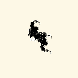 C=Cc1ccc(Oc2ccc(C3(c4ccc(F)c(F)c4)c4ccccc4-c4ccc([C@H](Cc5ccc6c(c5)C5(CC6(C)C)CC(C)(C)c6ccc(N(c7ccc(F)c(F)c7)c7ccc8c(c7)C(c7ccc(Oc9ccc(C=C)cc9)cc7)(c7ccc(F)c(F)c7)c7ccccc7-8)cc65)c5ccc(F)c(C)c5)cc43)cc2)cc1